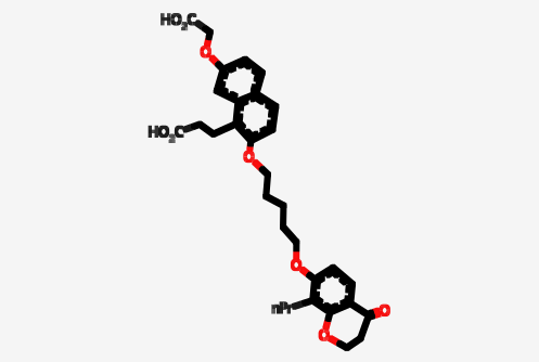 CCCc1c(OCCCCCOc2ccc3ccc(OCC(=O)O)cc3c2CCC(=O)O)ccc2c1OCCC2=O